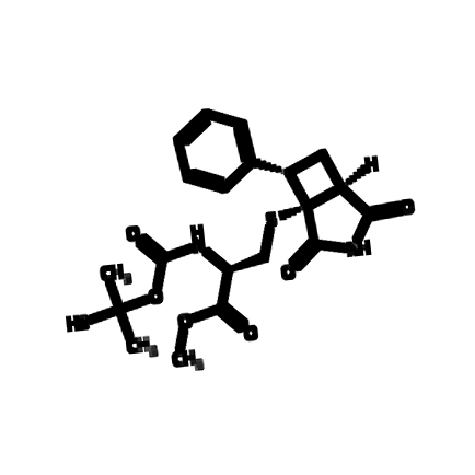 COC(=O)[C@H](CS[C@@]12C(=O)NC(=O)[C@@H]1C[C@H]2c1ccccc1)NC(=O)OC(C)(C)S